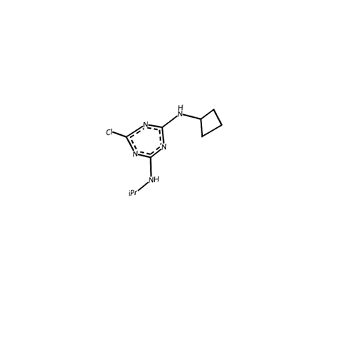 CC(C)Nc1nc(Cl)nc(NC2CCC2)n1